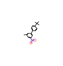 Cc1cc(-c2ccc(C(C)(C)C)cc2)cc([N+](=O)[O-])c1